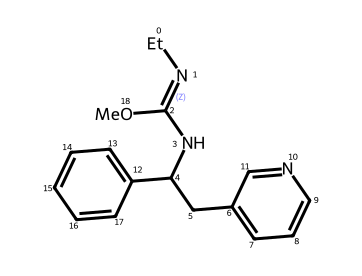 CC/N=C(/NC(Cc1cccnc1)c1ccccc1)OC